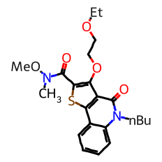 CCCCn1c(=O)c2c(OCCOCC)c(C(=O)N(C)OC)sc2c2ccccc21